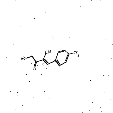 CC(C)CC(=O)/C(C#N)=C/c1ccc(C(F)(F)F)cc1